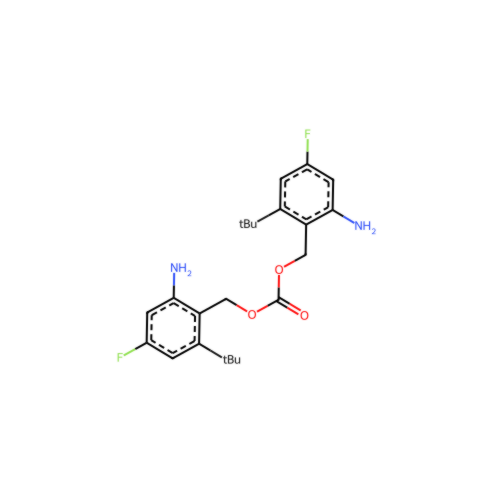 CC(C)(C)c1cc(F)cc(N)c1COC(=O)OCc1c(N)cc(F)cc1C(C)(C)C